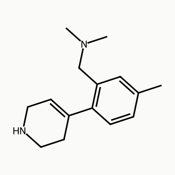 Cc1ccc(C2=CCNCC2)c(CN(C)C)c1